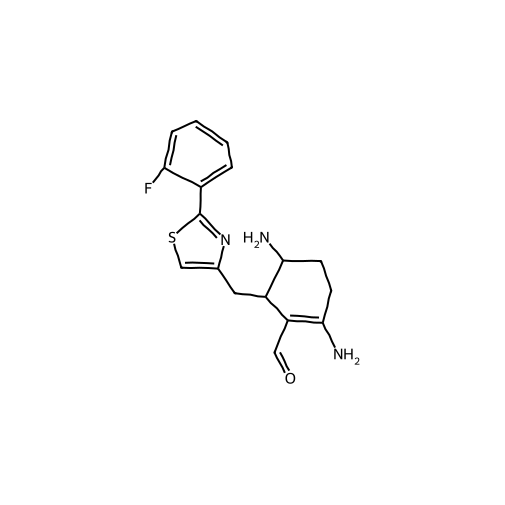 NC1=C(C=O)C(Cc2csc(-c3ccccc3F)n2)C(N)CC1